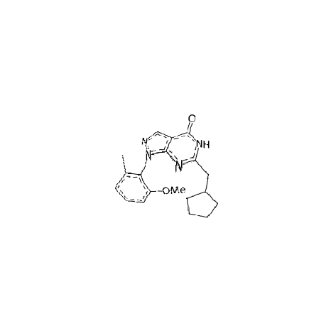 COc1cccc(C)c1-n1ncc2c(=O)[nH]c(CC3CCCC3)nc21